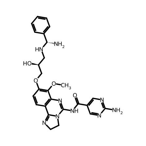 COc1c(OC[C@@H](O)CN[C@@H](N)c2ccccc2)ccc2c1N=C(NC(=O)c1cnc(N)nc1)N1CCN=C21